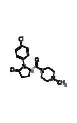 CN1CCN(C(=O)[C@@H]2CCC(=O)N2c2ccc(Cl)cc2)CC1